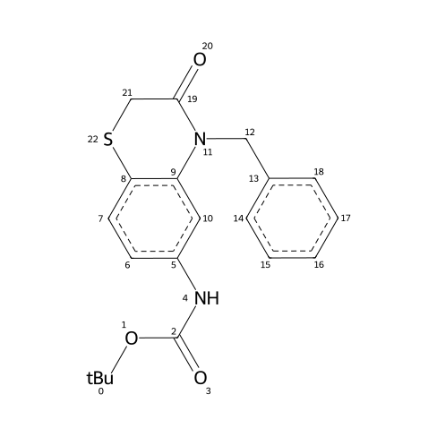 CC(C)(C)OC(=O)Nc1ccc2c(c1)N(Cc1ccccc1)C(=O)CS2